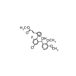 COC(=O)C=Cc1cccn1-c1c(F)cc(Cl)cc1C(O)c1cccc(OC)c1OC